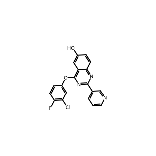 Oc1ccc2nc(-c3cccnc3)nc(Oc3ccc(F)c(Cl)c3)c2c1